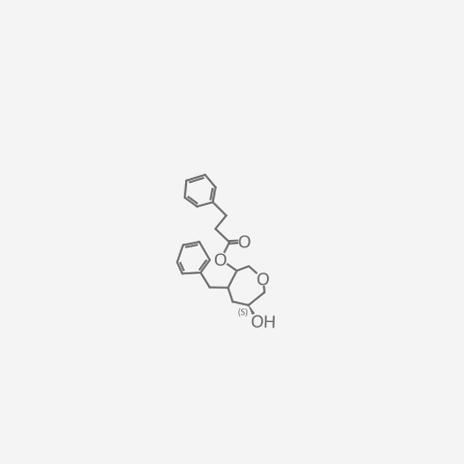 O=C(CCc1ccccc1)OC1COC[C@@H](O)CC1Cc1ccccc1